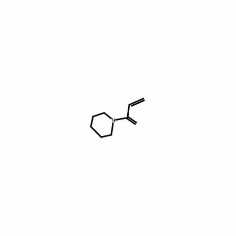 C=CC(=C)N1CCCCC1